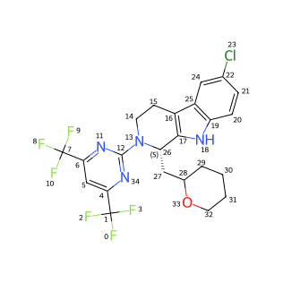 FC(F)(F)c1cc(C(F)(F)F)nc(N2CCc3c([nH]c4ccc(Cl)cc34)[C@@H]2CC2CCCCO2)n1